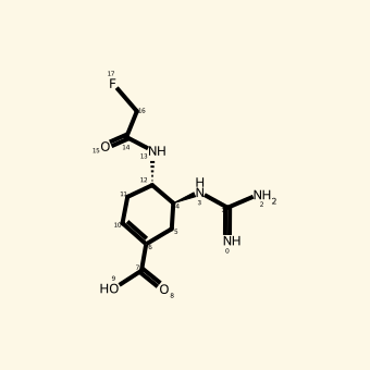 N=C(N)N[C@H]1CC(C(=O)O)=CC[C@@H]1NC(=O)CF